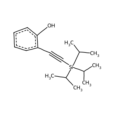 CC(C)[Si](C#Cc1ccccc1O)(C(C)C)C(C)C